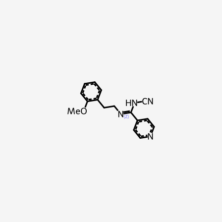 COc1ccccc1CC/N=C(\NC#N)c1ccncc1